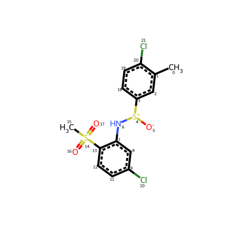 Cc1cc([S+]([O-])Nc2cc(Cl)ccc2S(C)(=O)=O)ccc1Cl